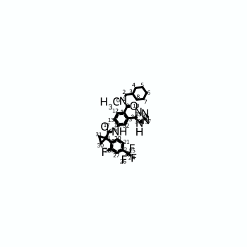 CN(CC1CCCCC1)C(=O)c1ccc(NC(=O)C2(c3ccc(C(F)(F)F)cc3F)CC2)cc1-c1nnn[nH]1